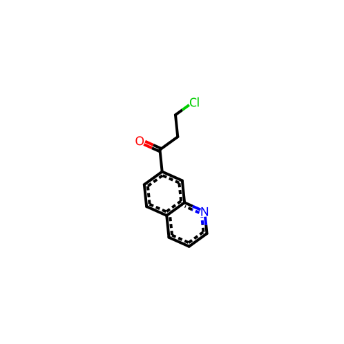 O=C(CCCl)c1ccc2cccnc2c1